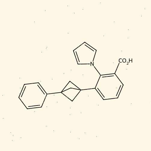 O=C(O)c1cccc(C23CC(c4ccccc4)(C2)C3)c1-n1cccc1